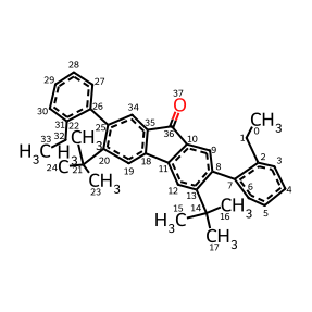 CCc1ccccc1-c1cc2c(cc1C(C)(C)C)-c1cc(C(C)(C)C)c(-c3ccccc3CC)cc1C2=O